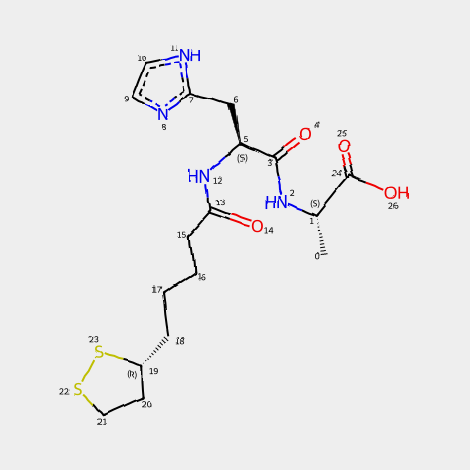 C[C@H](NC(=O)[C@H](Cc1ncc[nH]1)NC(=O)CCCC[C@@H]1CCSS1)C(=O)O